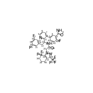 NC(=O)c1cc(-c2cccnc2C(Cc2cc(F)cc(F)c2)NC(=O)Cn2nc(C(F)(F)F)c3c2C(F)(F)CCC3)ccc1F